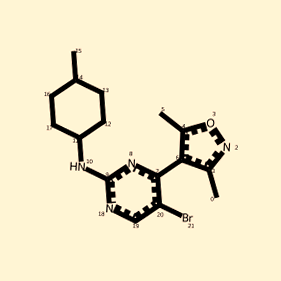 Cc1noc(C)c1-c1nc(NC2CCC(C)CC2)ncc1Br